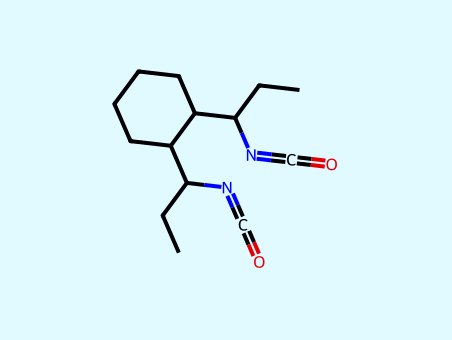 CCC(N=C=O)C1CCCCC1C(CC)N=C=O